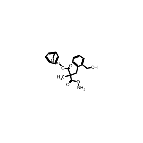 CC(C)(C)OC(=O)C(C)(Cc1ccccc1CO)C(=O)ON.c1cc2ccc1CO2